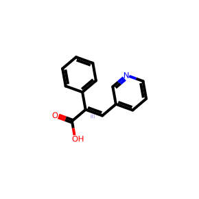 O=C(O)/C(=C/c1cccnc1)c1ccccc1